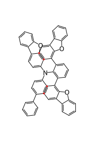 c1ccc(-c2ccc(N(c3ccc4c(c3)oc3ccccc34)c3c(-c4cccc5c4oc4ccccc45)cccc3-c3cccc4c3oc3ccccc34)cc2)cc1